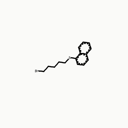 BrCCCCCSc1cccc2ccccc12